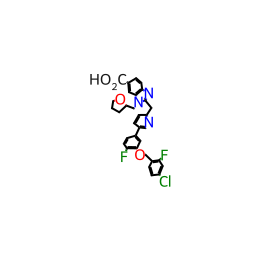 O=C(O)c1ccc2nc(Cc3ccc(-c4ccc(F)c(OCc5ccc(Cl)cc5F)c4)cn3)n(CC3CCCO3)c2c1